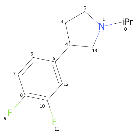 CC(C)N1CCC(c2ccc(F)c(F)c2)C1